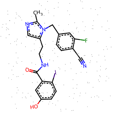 Cc1ncc(CCNC(=O)c2cc(O)ccc2I)n1Cc1ccc(C#N)c(F)c1